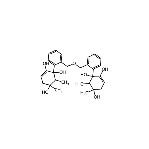 CC1C(C)(O)CC=C(O)C1(O)c1ccccc1COCc1ccccc1C1(O)C(O)=CCC(C)(O)C1C